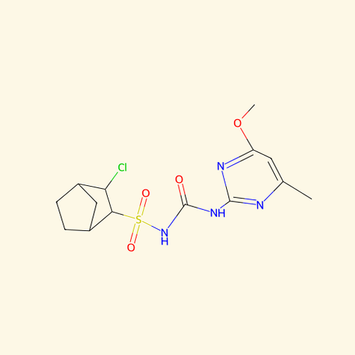 COc1cc(C)nc(NC(=O)NS(=O)(=O)C2C3CCC(C3)C2Cl)n1